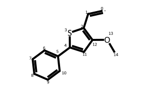 [CH]=Cc1sc(-c2ccccc2)cc1OC